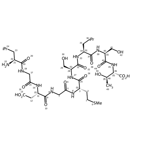 CSCC[C@H](NC(=O)CNC(=O)[C@H](CC(=O)O)NC(=O)CNC(=O)[C@@H](N)CC(C)C)C(=O)N[C@@H](CO)C(=O)N[C@@H](CC(C)C)C(=O)N[C@@H](CO)C(=O)N[C@H](C(=O)O)[C@@H](C)O